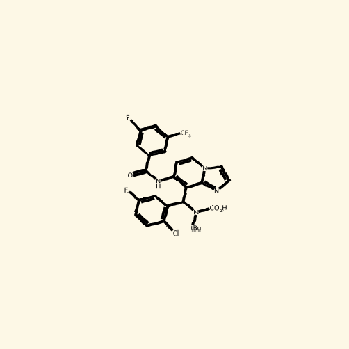 CC(C)(C)N(C(=O)O)C(c1cc(F)ccc1Cl)c1c(NC(=O)c2cc(F)cc(C(F)(F)F)c2)ccn2ccnc12